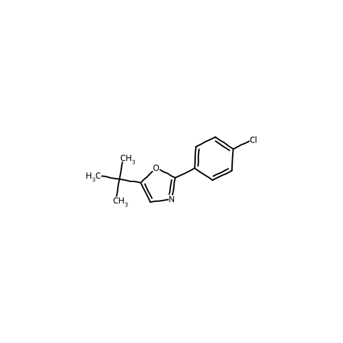 CC(C)(C)c1cnc(-c2ccc(Cl)cc2)o1